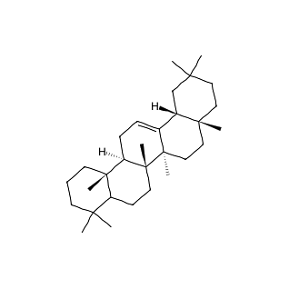 CC1(C)CC[C@]2(C)CC[C@]3(C)C(=CC[C@@H]4[C@@]5(C)CCCC(C)(C)C5CC[C@]43C)[C@@H]2C1